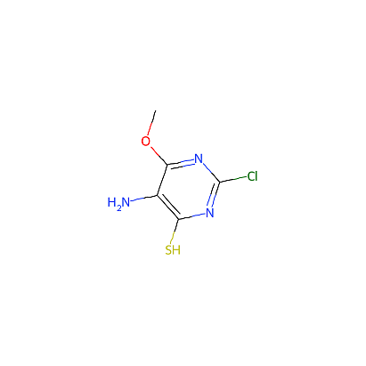 COc1nc(Cl)nc(S)c1N